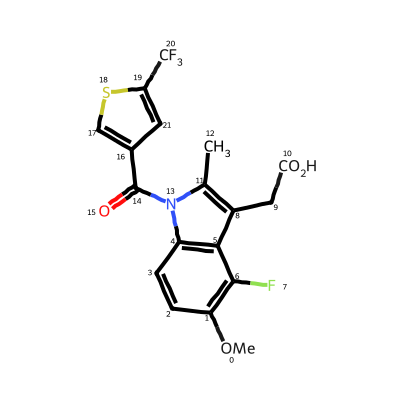 COc1ccc2c(c1F)c(CC(=O)O)c(C)n2C(=O)c1csc(C(F)(F)F)c1